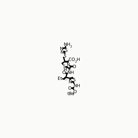 CC/C=C(\C(=O)N[C@@H]1C(=O)N2C(C(=O)O)=C(CSc3nnc(N)s3)CS[C@@H]12)c1csc(NC(=O)OC(C)(C)C)n1